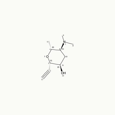 C#C[C@@H]1O[C@H](C)[C@@H](N(C)C)C[C@H]1O